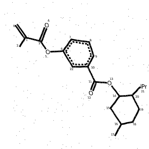 C=C(C)C(=O)Oc1cccc(C(=O)OC2CC(C)CCC2C(C)C)c1